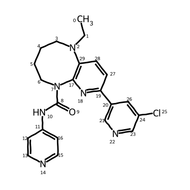 CCN1CCCCN(C(=O)Nc2ccncc2)c2nc(-c3cncc(Cl)c3)ccc21